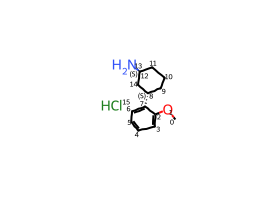 COc1ccccc1[C@H]1CCC[C@H](N)C1.Cl